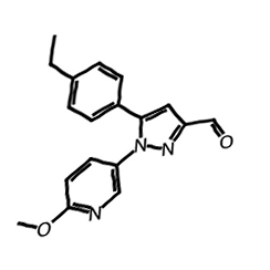 CCc1ccc(-c2cc(C=O)nn2-c2ccc(OC)nc2)cc1